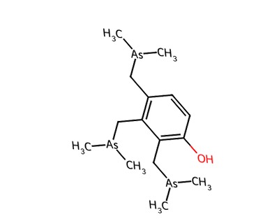 C[As](C)Cc1ccc(O)c(C[As](C)C)c1C[As](C)C